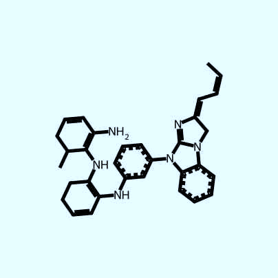 C/C=C\C=C1/CN2C(=N1)N(c1cccc(NC3=C(NC4=C(N)C=CCC4C)CCC=C3)c1)c1ccccc12